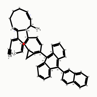 C#C/C=C(\C=C/C)C1=N/CCC/C=C\C(C)N\1C1=CC2CC2=C(c2c3ccccc3c(-c3ccc4ccccc4c3)c3ccccc23)C=C1